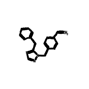 C=Cc1ccc(Cn2ncnc2Cc2ccccc2)cc1